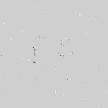 C=C(/N=C1\C(=C/N)N=C(Nc2ccccc2F)N1c1ccccc1)NC1CCOCC1